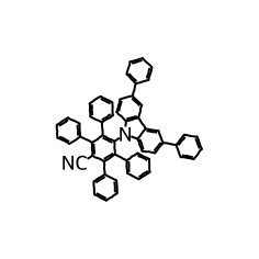 N#Cc1c(-c2ccccc2)c(-c2ccccc2)c(-n2c3ccc(-c4ccccc4)cc3c3cc(-c4ccccc4)ccc32)c(-c2ccccc2)c1-c1ccccc1